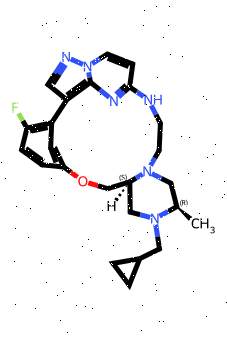 C[C@@H]1CN2CCNc3ccn4ncc(c4n3)-c3cc(ccc3F)OC[C@@H]2CN1CC1CC1